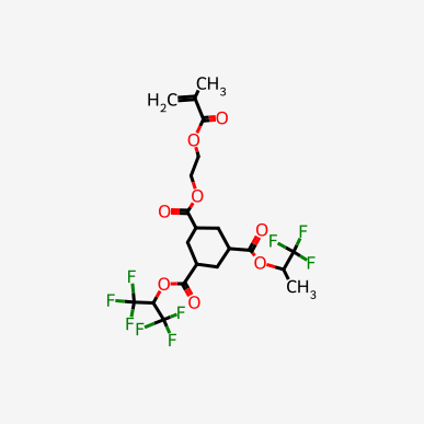 C=C(C)C(=O)OCCOC(=O)C1CC(C(=O)OC(C)C(F)(F)F)CC(C(=O)OC(C(F)(F)F)C(F)(F)F)C1